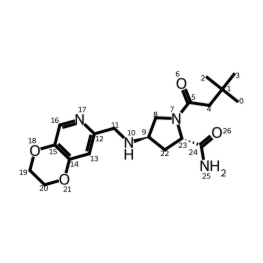 CC(C)(C)CC(=O)N1C[C@H](NCc2cc3c(cn2)OCCO3)C[C@H]1C(N)=O